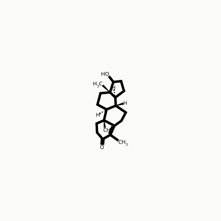 CC1=C2CC[C@@H]3[C@H](CC[C@]4(C)C(O)CC[C@@H]34)[C@@]2(C)CCC1=O